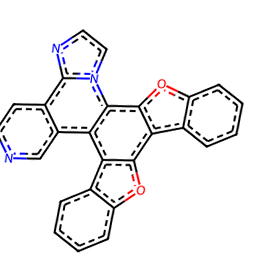 c1ccc2c(c1)oc1c2c2oc3ccccc3c2c2c3cnccc3c3nccn3c12